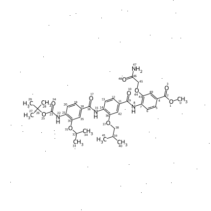 COC(=O)c1ccc(NC(=O)c2ccc(NC(=O)c3ccc(NC(=O)OC(C)(C)C)c(OC(C)C)c3)c(OCC(C)C)c2)c(OCC(N)=O)c1